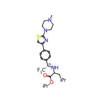 CC(C)CC(N[C@@H](c1ccc(-c2csc(N3CCN(C)CC3)n2)cc1)C(F)(F)F)C(=O)OC(C)C